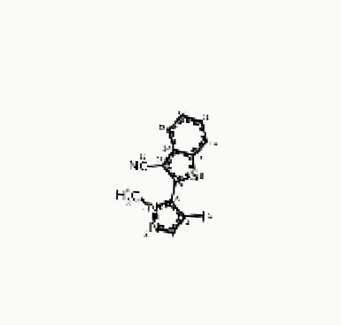 Cn1ncc(I)c1-c1sc2ccccc2c1C#N